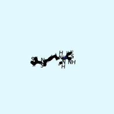 CN/C(NCCC#Cc1csc(-c2ccsc2)n1)=C1/C=CSC1=N